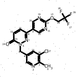 Cc1ncc(Cn2nc(-c3cnc(OCC(F)(F)F)nc3)ccc2=O)cc1Cl